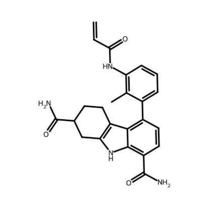 C=CC(=O)Nc1cccc(-c2ccc(C(N)=O)c3[nH]c4c(c23)CCC(C(N)=O)C4)c1C